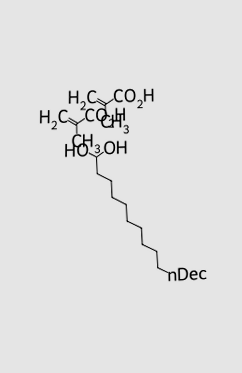 C=C(C)C(=O)O.C=C(C)C(=O)O.CCCCCCCCCCCCCCCCCCCC(O)O